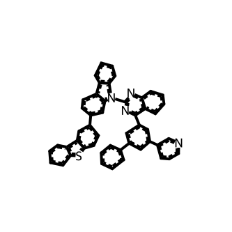 c1ccc(-c2cc(-c3cccnc3)cc(-c3nc(-n4c5ccccc5c5ccc(-c6ccc7sc8ccccc8c7c6)cc54)nc4ccccc34)c2)cc1